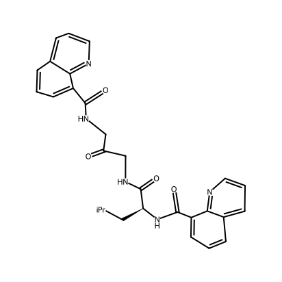 CC(C)C[C@H](NC(=O)c1cccc2cccnc12)C(=O)NCC(=O)CNC(=O)c1cccc2cccnc12